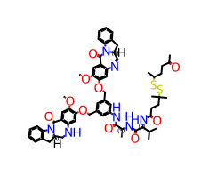 COc1cc2c(cc1OCc1cc(COc3cc4c(cc3OC)C(=O)N3c5ccccc5C[C@H]3CN4)cc(NC(=O)[C@H](C)NC(=O)[C@@H](NC(=O)CCC(C)(C)SSC(C)CCC(C)=O)C(C)C)c1)N=C[C@@H]1Cc3ccccc3N1C2=O